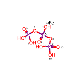 O=P(O)(O)OP(=O)(O)OP(=O)(O)O.[Fe]